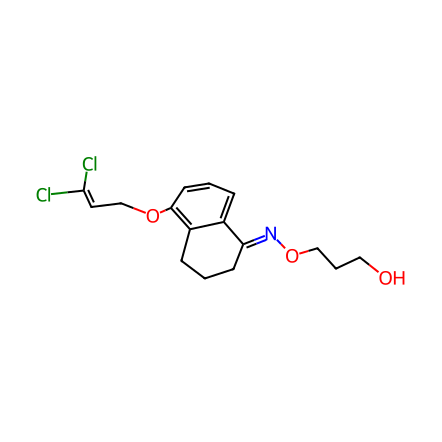 OCCCON=C1CCCc2c(OCC=C(Cl)Cl)cccc21